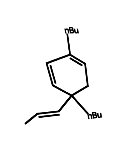 CC=CC1(CCCC)C=CC(CCCC)=CC1